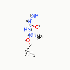 CCCONNC(=O)N=N.[Na]